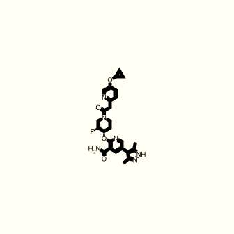 Cc1n[nH]c(C)c1-c1cnc(O[C@@H]2CCN(C(=O)Cc3ccc(OC4CC4)cn3)C[C@@H]2F)c(C(N)=O)c1